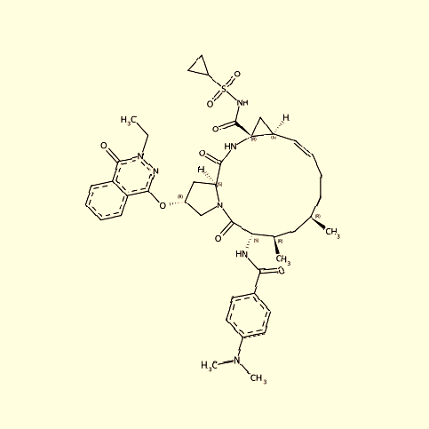 CCn1nc(O[C@@H]2C[C@H]3C(=O)N[C@]4(C(=O)NS(=O)(=O)C5CC5)C[C@H]4C=CCC[C@@H](C)C[C@@H](C)[C@H](NC(=O)c4ccc(N(C)C)cc4)C(=O)N3C2)c2ccccc2c1=O